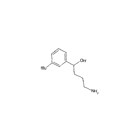 CC(C)(C)c1cccc(C(O)CCCN)c1